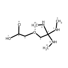 CNC(COCC(O)Cl)(NC)NC